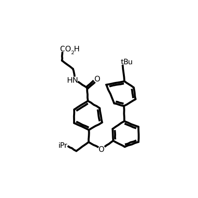 CC(C)CC(Oc1cccc(-c2ccc(C(C)(C)C)cc2)c1)c1ccc(C(=O)NCCC(=O)O)cc1